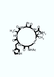 CC(=O)NC1CSSC(C)(C)C(C(N)=O)NC(=O)C(C(C)C)NC(=O)C(C)NC(=O)C(Cc2c[nH]cn2)NC1=O